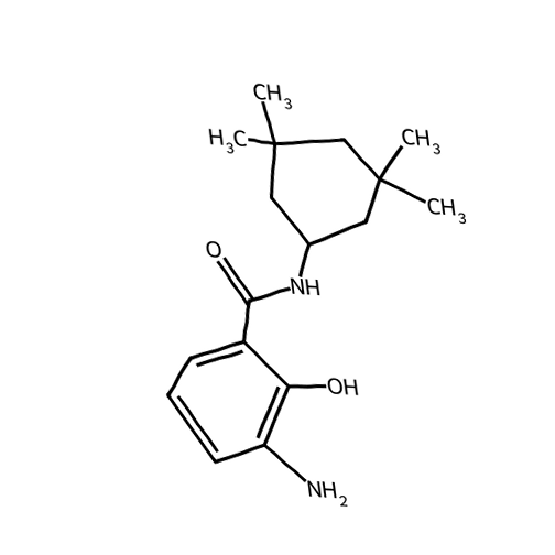 CC1(C)CC(NC(=O)c2cccc(N)c2O)CC(C)(C)C1